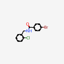 O=C(NCc1ccccc1Cl)c1ccc(Br)cc1